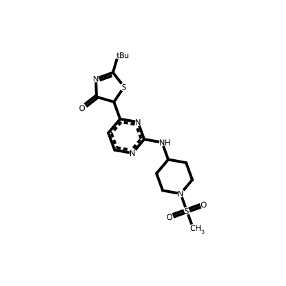 CC(C)(C)C1=NC(=O)C(c2ccnc(NC3CCN(S(C)(=O)=O)CC3)n2)S1